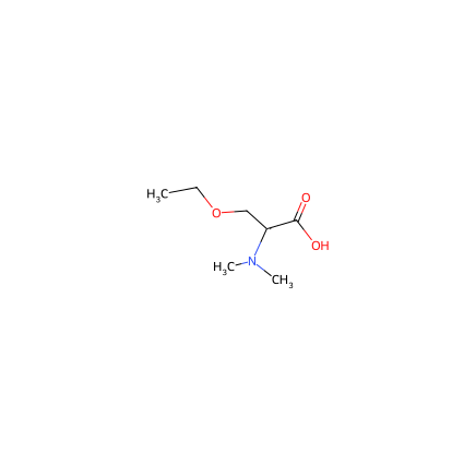 CCOC[C](C(=O)O)N(C)C